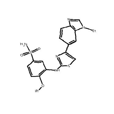 CCn1cnc2ccc(-c3csc(Nc4cc(S(N)(=O)=O)ccc4OC(C)C)n3)cc21